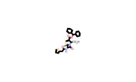 O=C(Cc1cccs1)NC1C(=O)N2C(C(=O)O)C(C(=O)OC(c3ccccc3)c3ccccc3)=CS[C@@H]12